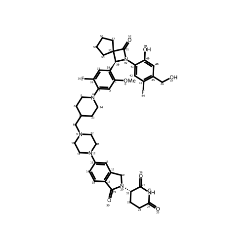 COc1cc(N2CCC(CN3CCN(c4ccc5c(c4)CN([C@H]4CCC(=O)NC4=O)C5=O)CC3)CC2)c(F)cc1[C@@H]1N(c2cc(F)c(CO)cc2O)C(=O)C12CCCC2